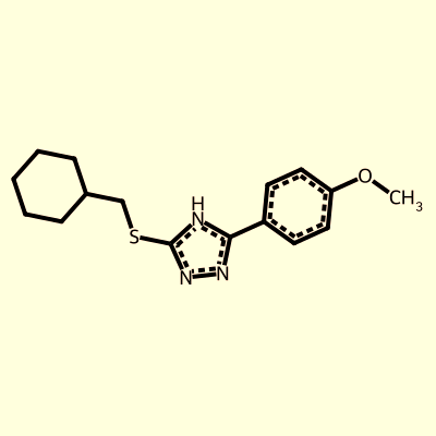 COc1ccc(-c2nnc(SCC3CCCCC3)[nH]2)cc1